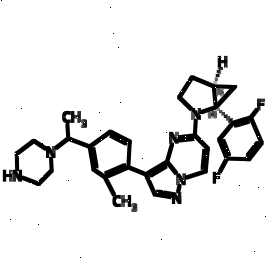 Cc1cc(C(C)N2CCNCC2)ccc1-c1cnn2ccc(N3CC[C@H]4C[C@]43c3cc(F)ccc3F)nc12